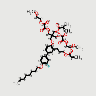 C=CC(=O)OCCCc1cc(-c2ccc(OCCCCCCCC)c(F)c2)ccc1OCC(COC(=O)C(=C)C)(COC(=O)C(=O)OCCOC)COC(=O)C(=O)OCCOC